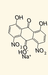 O=C1c2c(O)ccc([N+](=O)[O-])c2C(=O)c2c([N+](=O)[O-])ccc(O)c21.[Na+].[OH-]